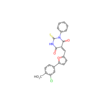 O=C1NC(=S)N(c2ccccc2)C(=O)/C1=C/c1ccc(-c2ccc(C(=O)O)c(Cl)c2)o1